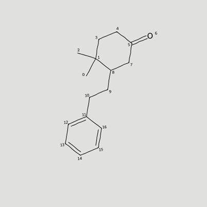 CC1(C)CCC(=O)CC1CCc1ccccc1